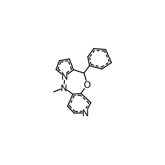 CN1c2ccncc2OC(c2ccccc2)c2cccn21